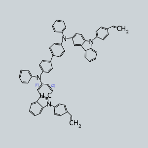 C=Cc1ccc(-n2cc(/C=C(\C=C/C)N(c3ccccc3)c3ccc(-c4ccc(N(c5ccccc5)c5ccc6c(c5)c5ccccc5n6-c5ccc(C=C)cc5)cc4)cc3)c3ccccc32)cc1